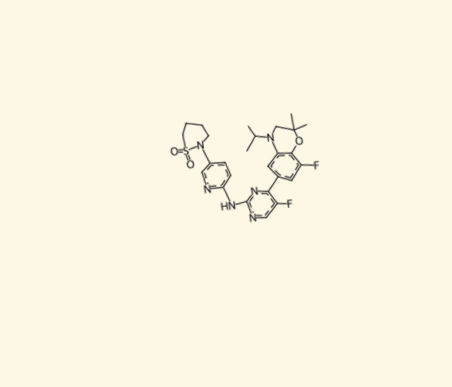 CC(C)N1CC(C)(C)Oc2c(F)cc(-c3nc(Nc4ccc(N5CCCCS5(=O)=O)cn4)ncc3F)cc21